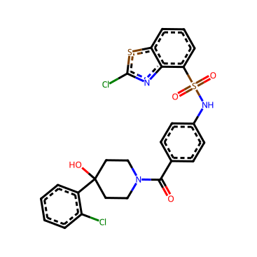 O=C(c1ccc(NS(=O)(=O)c2cccc3sc(Cl)nc23)cc1)N1CCC(O)(c2ccccc2Cl)CC1